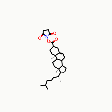 CC(C)CCC[C@@H](C)[C@H]1CCC2C3CC=C4CC(C(=O)ON5C(=O)CCC5=O)CC[C@]4(C)C3CC[C@@]21C